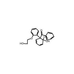 CC1(O)C=CC=CC1(C(=O)c1ccccc1)c1ccccc1OCCO